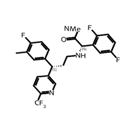 CNC(=O)[C@@H](NCC[C@H](c1ccc(C(F)(F)F)nc1)c1ccc(F)c(C)c1)c1cc(F)ccc1F